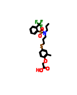 CCCN(CCCSc1ccc(OCC(=O)O)c(C)c1)S(=O)(=O)c1ccccc1C(F)(F)F